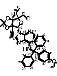 C#C[C@@]12OC(C)(C)O[C@@H]1[C@](CC)(CCl)O[C@H]2n1cnc2c(NC(c3ccccc3)(c3ccccc3)c3ccc(OC)cc3)ncnc21